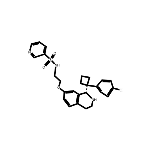 O=S(=O)(NCCOc1ccc2c(c1)[C@H](C1(c3ccc(Cl)cc3)CCC1)NCC2)c1cccnc1